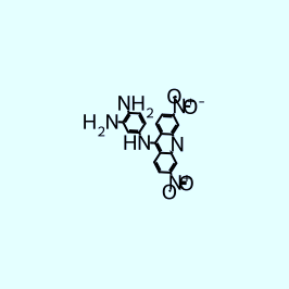 Nc1ccc(Nc2c3ccc([N+](=O)[O-])cc3nc3cc([N+](=O)[O-])ccc23)cc1N